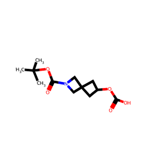 CC(C)(C)OC(=O)N1CC2(CC(OC(=O)O)C2)C1